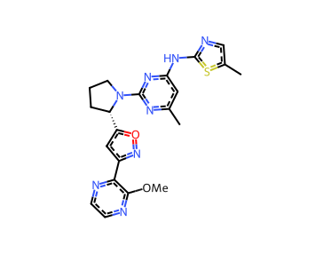 COc1nccnc1-c1cc([C@@H]2CCCN2c2nc(C)cc(Nc3ncc(C)s3)n2)on1